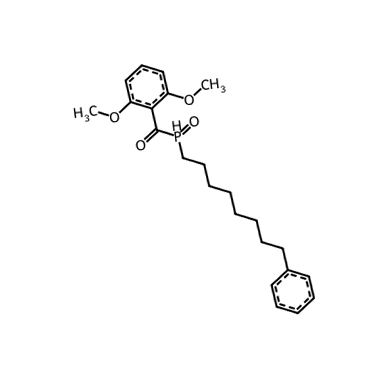 COc1cccc(OC)c1C(=O)[PH](=O)CCCCCCCCc1ccccc1